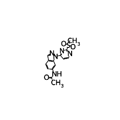 CC(=O)Nc1ccc2cnn(-c3ccnc(S(C)(=O)=O)n3)c2c1